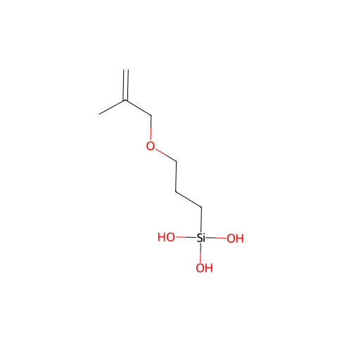 C=C(C)COCCC[Si](O)(O)O